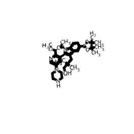 CCn1c(-c2cc(N3CCNCC3)cnc2[C@H](C)OC)c(CC(C)(C)CO)c2cc(B3OC(C)(C)C(C)(C)O3)ccc21